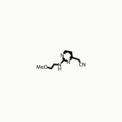 COCCNc1nccc(CC#N)n1